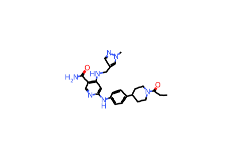 CCC(=O)N1CCC(c2ccc(Nc3cc(NCc4cnn(C)c4)c(C(N)=O)cn3)cc2)CC1